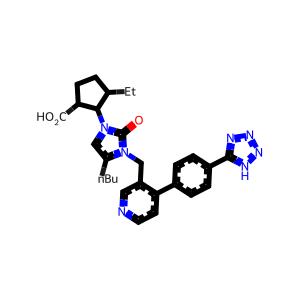 CCCCc1cn(C2C(CC)CCC2C(=O)O)c(=O)n1Cc1cnccc1-c1ccc(-c2nnn[nH]2)cc1